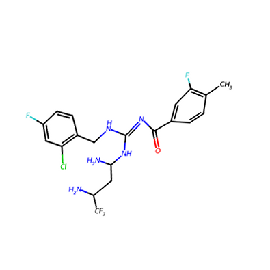 Cc1ccc(C(=O)/N=C(/NCc2ccc(F)cc2Cl)NC(N)CC(N)C(F)(F)F)cc1F